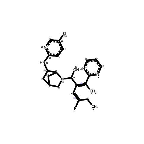 CC/C(F)=C\C(=C(/C)c1ncccn1)C(O)N1CC2CC(Nc3ccc(Cl)cn3)C1C2